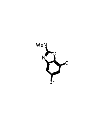 CNc1nc2cc(Br)cc(Cl)c2o1